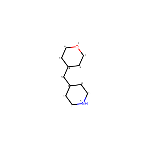 C1CC(CC2CCOCC2)CCN1